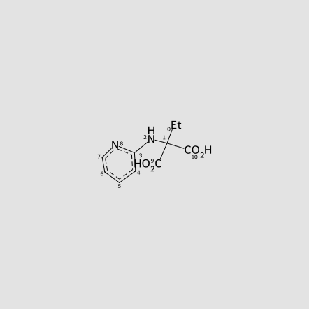 CCC(Nc1ccccn1)(C(=O)O)C(=O)O